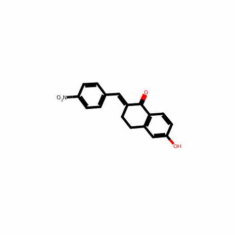 O=C1C(=Cc2ccc([N+](=O)[O-])cc2)CCc2cc(O)ccc21